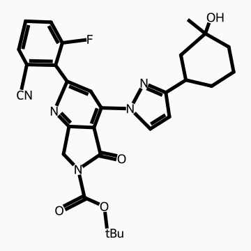 CC1(O)CCCC(c2ccn(-c3cc(-c4c(F)cccc4C#N)nc4c3C(=O)N(C(=O)OC(C)(C)C)C4)n2)C1